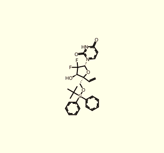 C=C[C@]1(CO[Si](c2ccccc2)(c2ccccc2)C(C)(C)C)O[C@@H](n2ccc(=O)[nH]c2=O)C(F)(F)[C@@H]1O